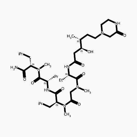 CC[C@H](NC(=O)C[C@H](O)[C@H](C)CCN1CCNC(=O)C1)C(=O)N(C)CC(=O)N(C)[C@@H](CC(C)C)C(=O)N[C@H](C(=O)N(C)[C@@H](CC(C)C)C(N)=O)C(C)C